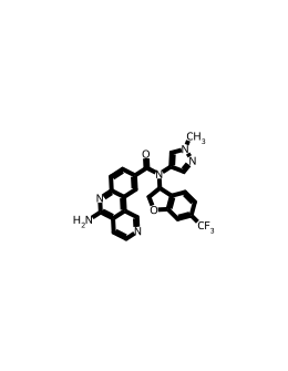 Cn1cc(N(C(=O)c2ccc3nc(N)c4ccncc4c3c2)C2COc3cc(C(F)(F)F)ccc32)cn1